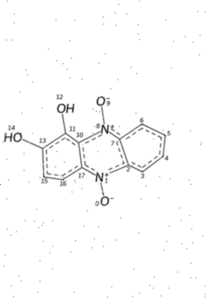 [O-][n+]1c2ccccc2[n+]([O-])c2c(O)c(O)ccc21